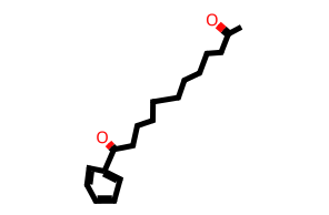 CC(=O)CCCCCCCCCC(=O)c1ccccc1